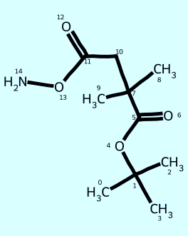 CC(C)(C)OC(=O)C(C)(C)CC(=O)ON